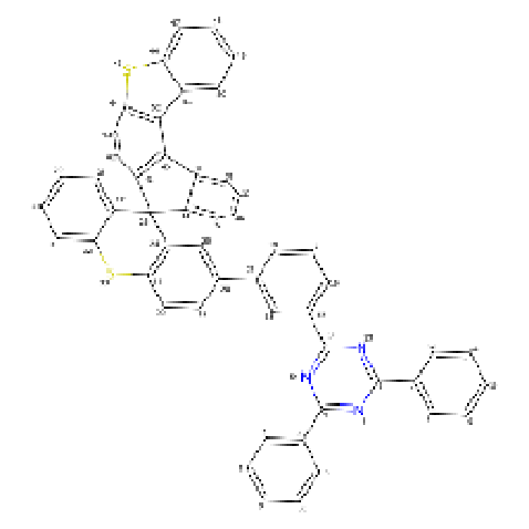 c1ccc(-c2nc(-c3ccccc3)nc(-c3cccc(-c4ccc5c(c4)C4(c6ccccc6S5)c5ccccc5-c5c4ccc4sc6ccccc6c54)c3)n2)cc1